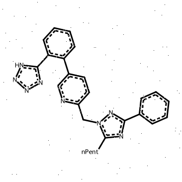 CCCCCc1nc(-c2ccccc2)nn1Cc1ccc(-c2ccccc2-c2nnn[nH]2)cn1